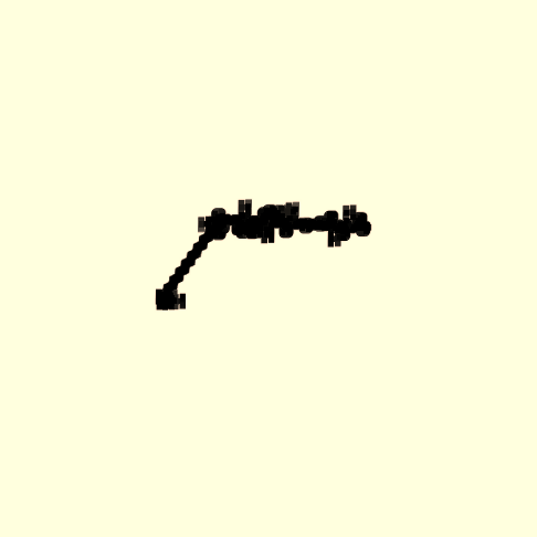 COC(CNC(=O)CNC(=O)COCCOCCNC(=O)CCC(NC(=O)CCC(NC(=O)CCCS(=O)(=O)NC(=O)CCCCCCCCCCCCCCCc1nn[nH]n1)C(=O)O)C(=O)O)OC